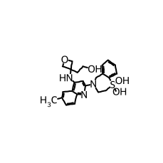 Cc1ccc2nc(N3CCS(O)(O)c4ccccc4C3)cc(NC3(CCO)COC3)c2c1